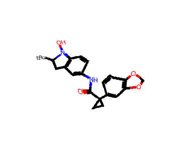 CC(C)(C)C1Cc2cc(NC(=O)C3(c4ccc5c(c4)OCO5)CC3)ccc2N1O